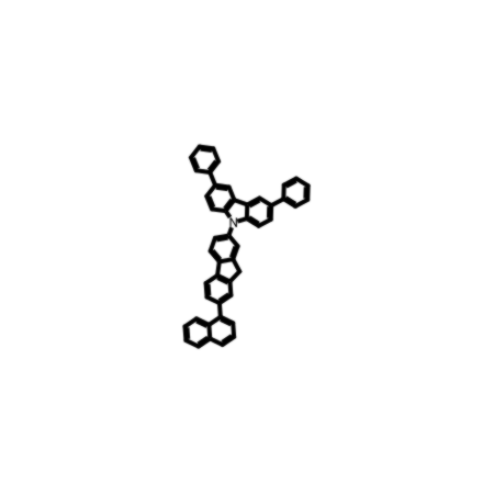 c1ccc(-c2ccc3c(c2)c2cc(-c4ccccc4)ccc2n3-c2ccc3c(c2)Cc2cc(-c4cccc5ccccc45)ccc2-3)cc1